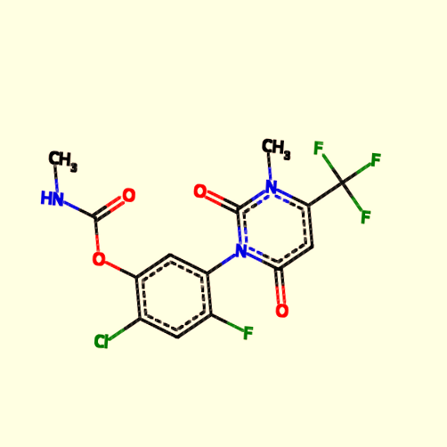 CNC(=O)Oc1cc(-n2c(=O)cc(C(F)(F)F)n(C)c2=O)c(F)cc1Cl